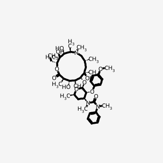 CC[C@H]1OC(=O)[C@H](C)[C@@H](O)[C@H](C)[C@@H](O[C@@H]2O[C@H](C)C[C@H](N(C)C(=O)N(C)c3ccccc3)[C@H]2Oc2ccc(OC)cc2)[C@](C)(O)C[C@@H](C)CN(C)[C@H](C)[C@@H](O)[C@]1(C)O